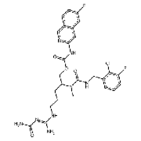 CN(C(=O)NCc1cccc(F)c1Cl)C(CCCNC(N)=NC(N)=O)COC(=O)Nc1cc2cc(F)ccc2cn1